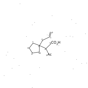 C=CCC1(C(C(C)=O)C(=O)O)CCCC1